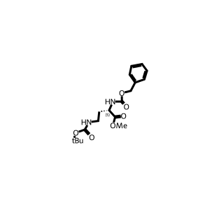 COC(=O)[C@H](CCNC(=O)OC(C)(C)C)NC(=O)OCc1ccccc1